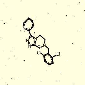 Clc1cccc(Cl)c1CN1CCn2c(nnc2-c2ccccn2)C1